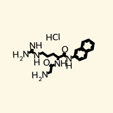 Cl.N=C(N)NCCCC(NC(=O)CN)C(=O)Nc1ccc2ccccc2c1